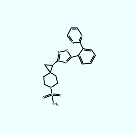 NS(=O)(=O)N1CCC2(CC1)C[C@H]2c1noc(-c2ccccc2-c2ncccn2)n1